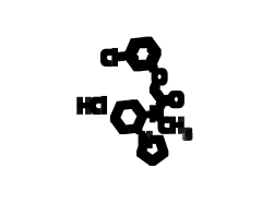 CN(C(=O)COc1cccc(Cl)c1)[C@@H]1CCCC[C@H]1N1CCCC1.Cl